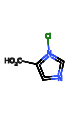 O=C(O)c1cncn1Cl